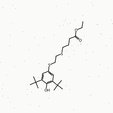 CCOC(=O)CCCSCCSc1cc(C(C)(C)C)c(O)c(C(C)(C)C)c1